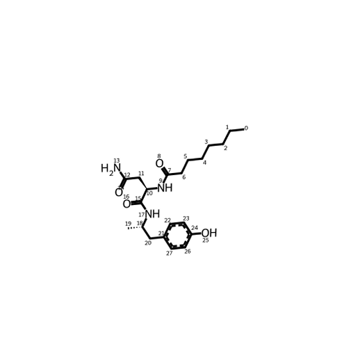 CCCCCCCC(=O)N[C@H](CC(N)=O)C(=O)N[C@@H](C)Cc1ccc(O)cc1